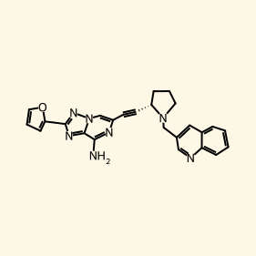 Nc1nc(C#C[C@@H]2CCCN2Cc2cnc3ccccc3c2)cn2nc(-c3ccco3)nc12